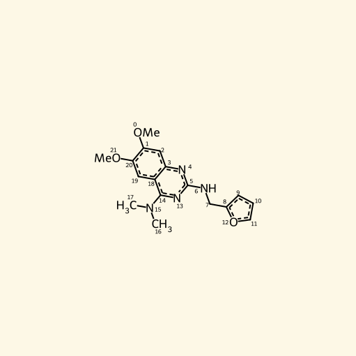 COc1cc2nc(NCc3ccco3)nc(N(C)C)c2cc1OC